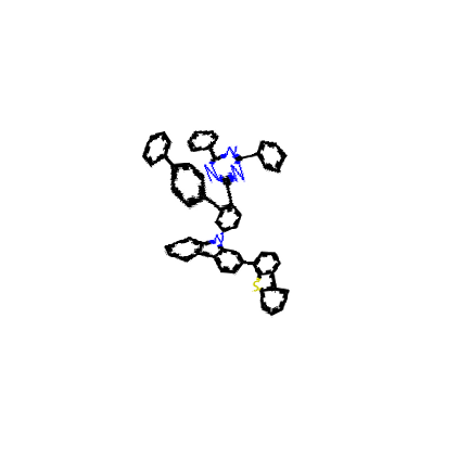 c1ccc(-c2ccc(-c3cc(-n4c5ccccc5c5ccc(-c6cccc7c6sc6ccccc67)cc54)ccc3-c3nc(-c4ccccc4)nc(-c4ccccc4)n3)cc2)cc1